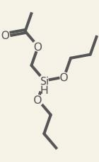 CCCO[SiH](COC(C)=O)OCCC